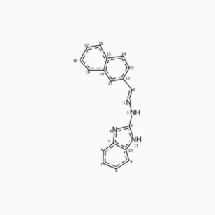 C(=NNc1nc2ccccc2[nH]1)c1ccc2ccccc2c1